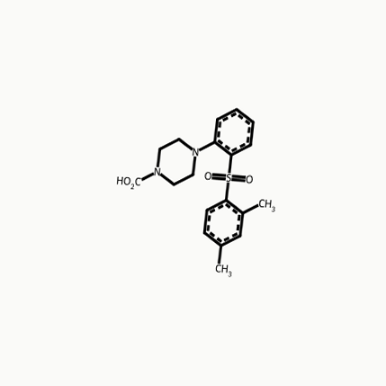 Cc1ccc(S(=O)(=O)c2ccccc2N2CCN(C(=O)O)CC2)c(C)c1